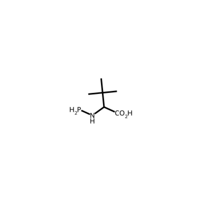 CC(C)(C)C(NP)C(=O)O